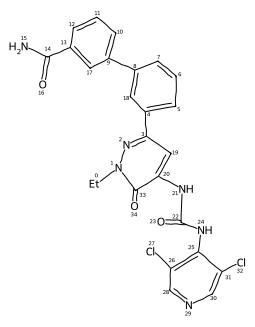 CCn1nc(-c2cccc(-c3cccc(C(N)=O)c3)c2)cc(NC(=O)Nc2c(Cl)cncc2Cl)c1=O